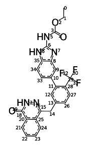 CCOC(=O)Nc1nc2cc(-c3cc(Cc4n[nH]c(=O)c5ccccc45)ccc3C(F)(F)F)ccc2[nH]1